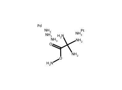 N.N.N.N.NOC(=O)C(N)(N)N.[Pd].[Pt]